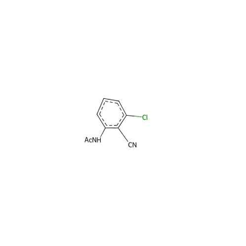 CC(=O)Nc1cccc(Cl)c1C#N